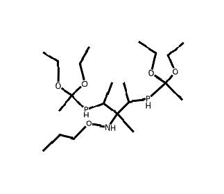 CCCONC(C)(C(C)PC(C)(OCC)OCC)C(C)PC(C)(OCC)OCC